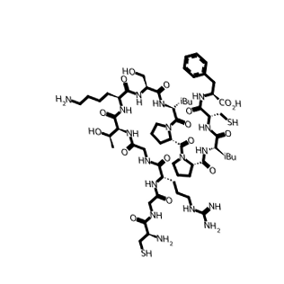 CC[C@H](C)[C@H](NC(=O)[C@@H]1CCCN1C(=O)[C@@H]1CCCN1C(=O)[C@@H](NC(=O)[C@H](CO)NC(=O)[C@H](CCCCN)NC(=O)[C@@H](NC(=O)CNC(=O)[C@H](CCCNC(=N)N)NC(=O)CNC(=O)[C@@H](N)CS)[C@@H](C)O)[C@@H](C)CC)C(=O)N[C@@H](CS)C(=O)N[C@@H](Cc1ccccc1)C(=O)O